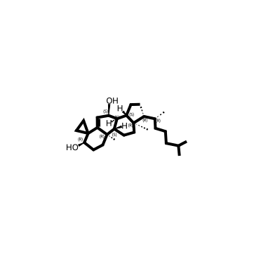 CC(C)CCC[C@@H](C)[C@H]1CC[C@H]2[C@@H]3[C@H](O)C=C4C5(CC5)[C@H](O)CC[C@]4(C)[C@H]3CC[C@]12C